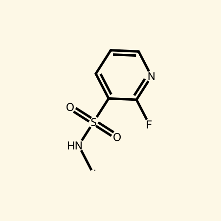 [CH2]NS(=O)(=O)c1cccnc1F